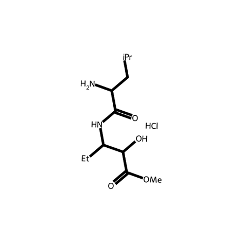 CCC(NC(=O)C(N)CC(C)C)C(O)C(=O)OC.Cl